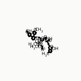 COc1ccc(-c2cccc(COCC3OC(n4cc(C#CCCc5cc(C)ccc5C(=O)O)c(=O)[nH]c4=O)CC3OP(OCCC#N)N(C(C)C)C(C)C)c2-c2ccc(OC)cc2)cc1